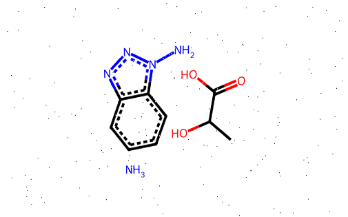 CC(O)C(=O)O.N.Nn1nnc2ccccc21